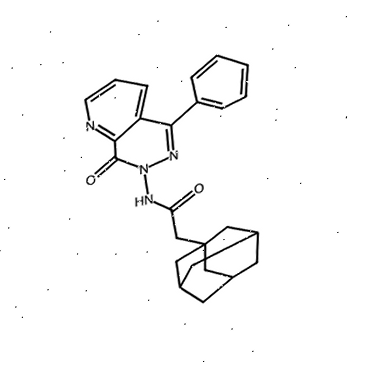 O=C(CC12CC3CC(CC(C3)C1)C2)Nn1nc(-c2ccccc2)c2cccnc2c1=O